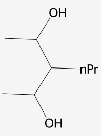 CCCC(C(C)O)C(C)O